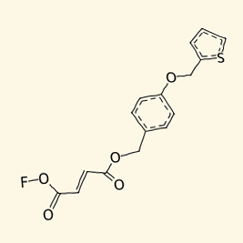 O=C(/C=C/C(=O)OCc1ccc(OCc2cccs2)cc1)OF